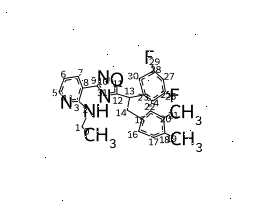 CCNc1ncccc1-c1noc(C(Cc2ccc(C)c(C)c2)c2cc(F)cc(F)c2)n1